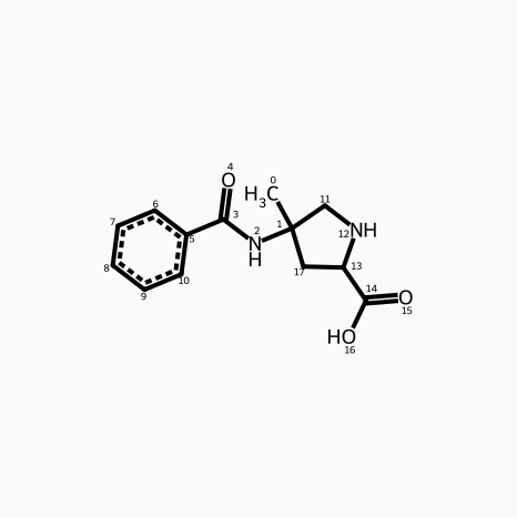 CC1(NC(=O)c2ccccc2)CNC(C(=O)O)C1